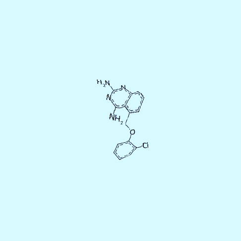 Nc1nc(N)c2c(COc3ccccc3Cl)cccc2n1